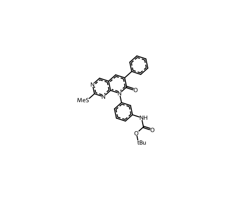 CSc1ncc2cc(-c3ccccc3)c(=O)n(-c3cccc(NC(=O)OC(C)(C)C)c3)c2n1